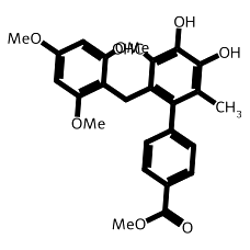 COC(=O)c1ccc(-c2c(C)c(O)c(O)c(C=O)c2Cc2c(OC)cc(OC)cc2OC)cc1